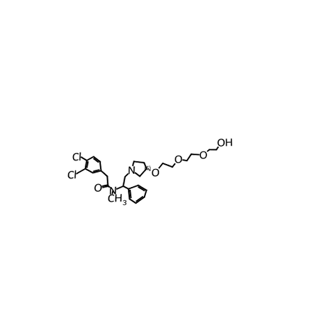 CN(C(=O)Cc1ccc(Cl)c(Cl)c1)C(CN1CC[C@H](OCCOCCOCCO)C1)c1ccccc1